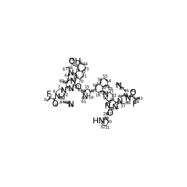 C=C(F)C(=O)N1CCN(c2nc(OC[C@@H]3CC(c4cc(N5CCc6c(nc(OC[C@@H]7CCCN7)nc6N6CCN(C(=O)C(=C)F)[C@@H](CC#N)C6)C5)c5c(C)cccc5c4)CN3C)nc(CN(CC)c3cccc4cccc(CO)c34)c2C)C[C@@H]1CC#N